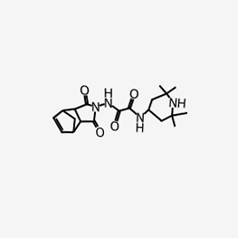 CC1(C)CC(NC(=O)C(=O)NN2C(=O)C3C4C=CC(C4)C3C2=O)CC(C)(C)N1